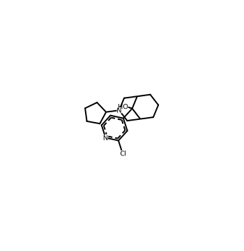 OC1(c2ccnc(Cl)c2)C2CCCC1CN(C1CCCC1)C2